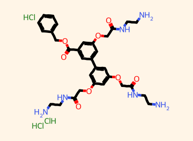 Cl.Cl.Cl.NCCNC(=O)COc1cc(OCC(=O)NCCN)cc(-c2cc(OCC(=O)NCCN)cc(C(=O)OCc3ccccc3)c2)c1